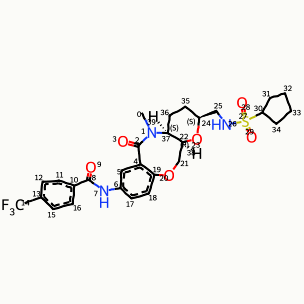 CN1C(=O)c2cc(NC(=O)c3ccc(C(F)(F)F)cc3)ccc2OC[C@@H]2O[C@H](CNS(=O)(=O)C3CCCC3)CC[C@@H]21